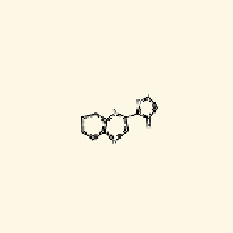 c1ccc2nc(-c3ncc[nH]3)cnc2c1